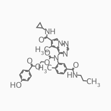 CCCNC(=O)c1ccc(C)c(N(C(=O)OCOC(=O)c2ccc(O)cc2)c2ncnn3cc(C(=O)NC4CC4)c(C)c23)c1